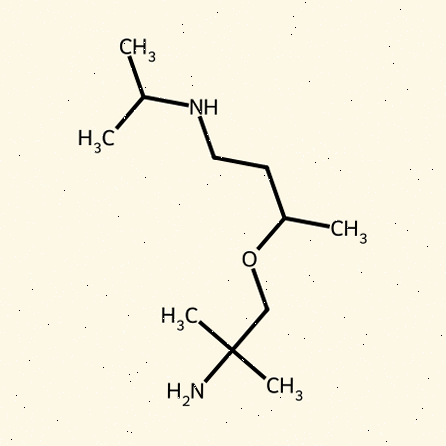 CC(C)NCCC(C)OCC(C)(C)N